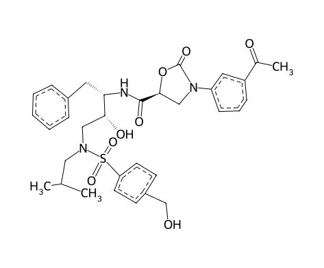 CC(=O)c1cccc(N2C[C@@H](C(=O)N[C@@H](Cc3ccccc3)[C@H](O)CN(CC(C)C)S(=O)(=O)c3ccc(CO)cc3)OC2=O)c1